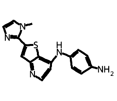 Cn1ccnc1-c1cc2nccc(Nc3ccc(N)cc3)c2s1